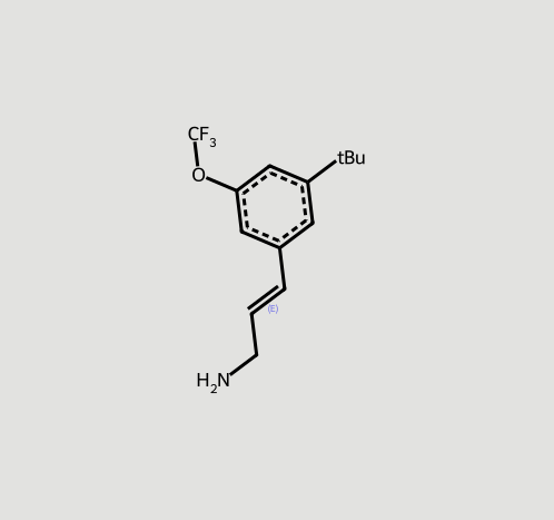 CC(C)(C)c1cc(/C=C/CN)cc(OC(F)(F)F)c1